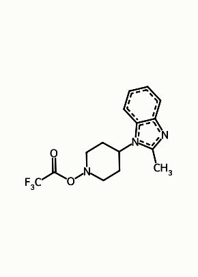 Cc1nc2ccccc2n1C1CCN(OC(=O)C(F)(F)F)CC1